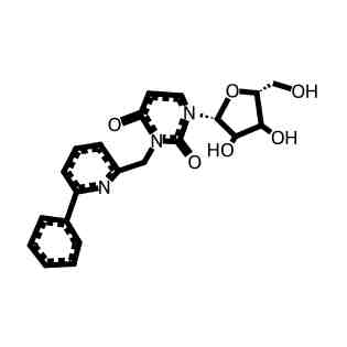 O=c1ccn([C@@H]2O[C@H](CO)C(O)C2O)c(=O)n1Cc1cccc(-c2ccccc2)n1